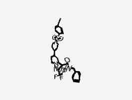 Cc1ccc(S(=O)(=O)N2CCC(C3CCn4nc(C(F)(F)F)c(C(=O)NCc5ccccc5)c4C3)CC2)cc1